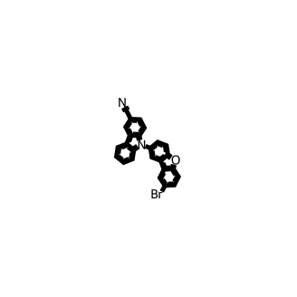 N#Cc1ccc2c(c1)c1ccccc1n2-c1ccc2oc3ccc(Br)cc3c2c1